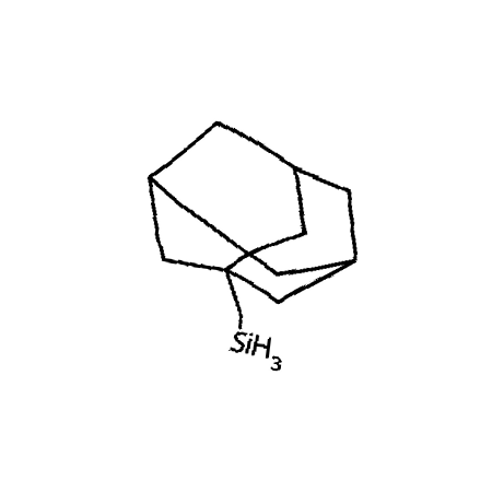 [SiH3]C12CC3CC(CC(C3)C1)C2